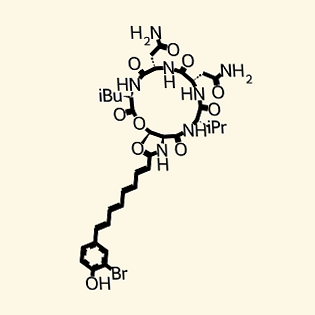 CC[C@@H](C)[C@@H]1NC(=O)[C@H](CC(N)=O)NC(=O)[C@H](CC(N)=O)NC(=O)[C@H](C(C)C)NC(=O)[C@@H](NC(=O)/C=C/C=C/C=C/C=C/c2ccc(O)c(Br)c2)[C@@H](C)OC1=O